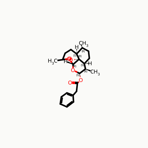 C[C@H]1[C@H](OC(=O)Cc2ccccc2)O[C@@H]2OC3(C)CC[C@H]4[C@H](C)CC[C@@H]1[C@@]24OO3